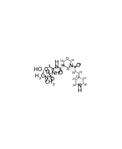 CN(C)S(=O)(=O)N[C@@H](CC(=O)O)NC(=O)[C@@H]1CCCN(C(=O)CCC2CCNCC2)C1